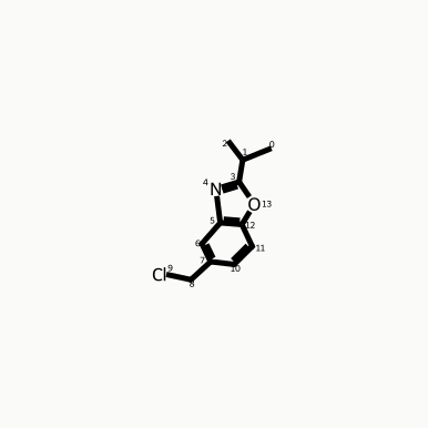 CC(C)c1nc2cc(CCl)ccc2o1